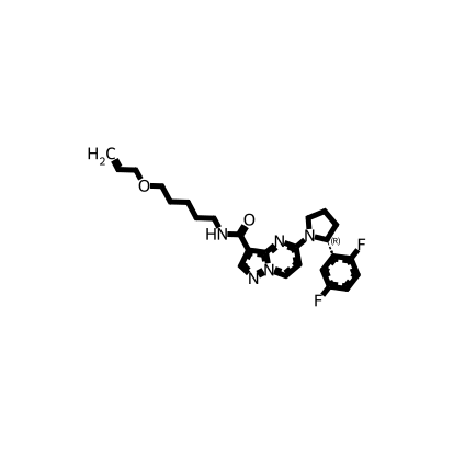 C=CCOCCCCCNC(=O)c1cnn2ccc(N3CCC[C@@H]3c3cc(F)ccc3F)nc12